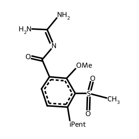 CCCC(C)c1ccc(C(=O)N=C(N)N)c(OC)c1S(C)(=O)=O